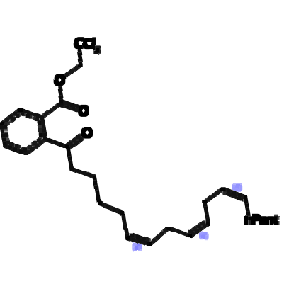 CCCCC/C=C\C/C=C\C/C=C\CCCCC(=O)c1ccccc1C(=O)OCC(Cl)(Cl)Cl